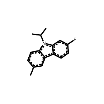 Cc1ccc2c(c1)c1ccc(F)cc1n2C(C)C